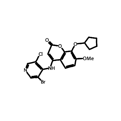 COc1ccc2c(Nc3c(Cl)cncc3Br)cc(=O)oc2c1OC1CCCC1